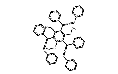 COc1c(C(=C=Nc2ccccc2)c2ccccc2)c(CO)c(C(=C=Nc2ccccc2)c2ccccc2)c(OC)c1C(=C=Nc1ccccc1)c1ccccc1